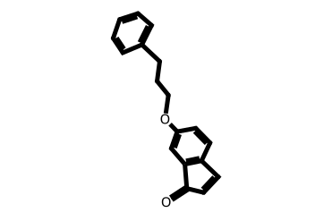 O=C1C=Cc2ccc(OCCCc3ccccc3)cc21